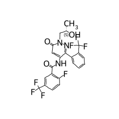 C[C@H](O)Cn1nc(-c2ccccc2C(F)(F)F)c(NC(=O)c2cc(C(F)(F)F)ccc2F)cc1=O